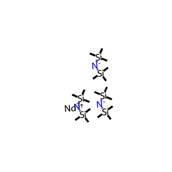 C[Si](C)(C)[N-][Si](C)(C)C.C[Si](C)(C)[N-][Si](C)(C)C.C[Si](C)(C)[N-][Si](C)(C)C.[Nd+3]